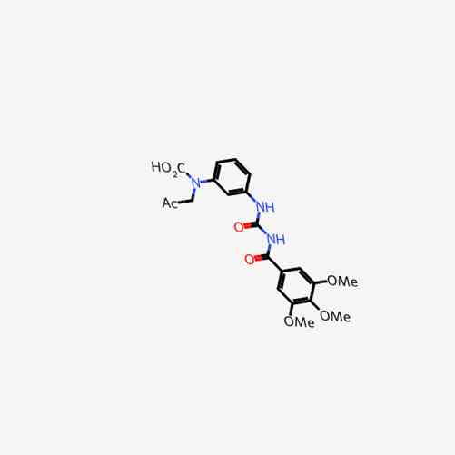 COc1cc(C(=O)NC(=O)Nc2cccc(N(CC(C)=O)C(=O)O)c2)cc(OC)c1OC